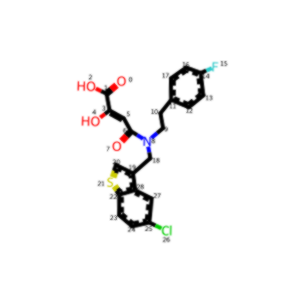 O=C(O)C(O)=CC(=O)N(CCc1ccc(F)cc1)Cc1csc2ccc(Cl)cc12